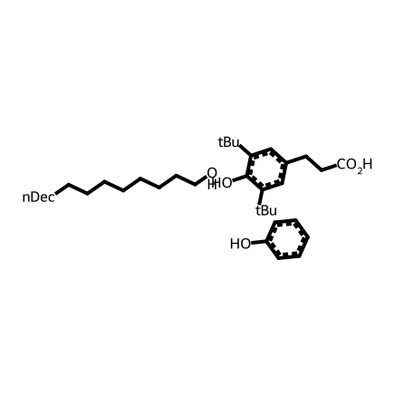 CC(C)(C)c1cc(CCC(=O)O)cc(C(C)(C)C)c1O.CCCCCCCCCCCCCCCCCCO.Oc1ccccc1